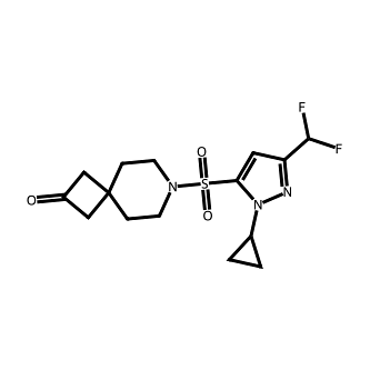 O=C1CC2(CCN(S(=O)(=O)c3cc(C(F)F)nn3C3CC3)CC2)C1